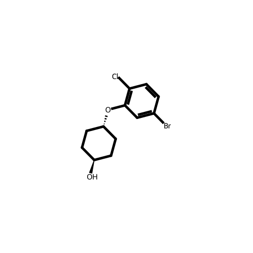 O[C@H]1CC[C@H](Oc2cc(Br)ccc2Cl)CC1